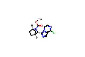 CC(C)(C)OC(=O)N1[C@@H]2CC[C@@H](C2)[C@H]1c1ncc2c(Cl)nccn12